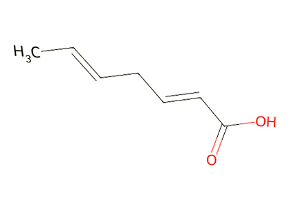 CC=CCC=CC(=O)O